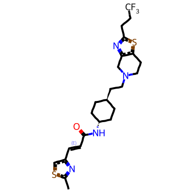 Cc1nc(/C=C/C(=O)N[C@H]2CC[C@H](CCN3CCc4sc(CCC(F)(F)F)nc4C3)CC2)cs1